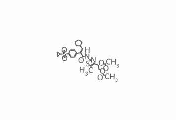 CC(=O)OCC(OC(C)=O)c1nc(NC(=O)/C(=C/C2CCCC2)c2ccc(S(=O)(=O)C3CC3)cc2)sc1C